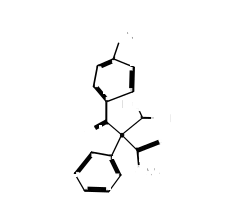 COC(=O)C(C(=O)c1ccc(C#N)cc1)(c1ccccc1)C(O)O